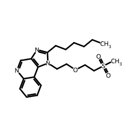 CCCCCCc1nc2cnc3ccccc3c2n1CCOCCS(C)(=O)=O